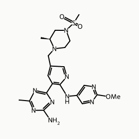 COc1ncc(Nc2ncc(CN3CCN(S(C)(=O)=O)C[C@@H]3C)cc2-c2nc(C)nc(N)n2)cn1